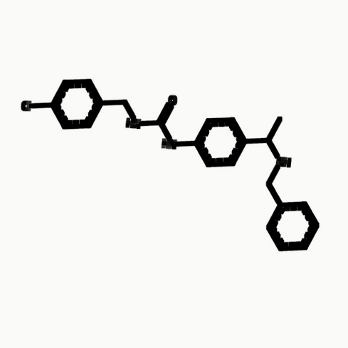 CC(NCc1ccccc1)c1ccc(NC(=O)NCc2ccc(Cl)cc2)cc1